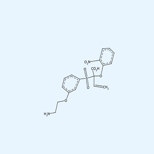 C=CC(Oc1ccccc1[N+](=O)[O-])(C(=O)O)S(=O)(=O)c1cccc(OCCN)c1